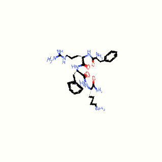 N=C(N)NCCC[C@H](NC(=O)[C@@H](N)Cc1ccccc1)C(=O)N[C@@H](Cc1ccccc1)C(=O)N[C@@H](CCCCN)C(N)=O